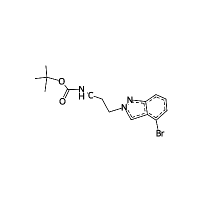 CC(C)(C)OC(=O)NCCCn1cc2c(Br)cccc2n1